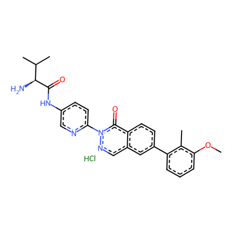 COc1cccc(-c2ccc3c(=O)n(-c4ccc(NC(=O)[C@@H](N)C(C)C)cn4)ncc3c2)c1C.Cl